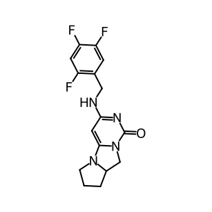 O=c1nc(NCc2cc(F)c(F)cc2F)cc2n1CC1CCCN21